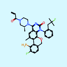 C=CC(=O)N1CCN(c2nc(=O)n(-c3ccccc3CC(C)(C)F)c3c4c(c(C)cc23)-c2c(ccc(F)c2P)CO4)[C@@H](C)C1